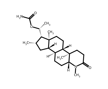 C[C@H]1C[C@H]2[C@@H]3CC[C@H]4N(C)C(=O)CC[C@]4(C)[C@H]3CC[C@]2(C)[C@H]1[C@@H](C)OC(N)=O